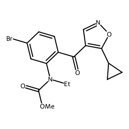 CCN(C(=O)OC)c1cc(Br)ccc1C(=O)c1cnoc1C1CC1